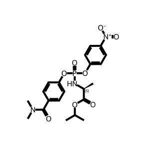 CC(C)OC(=O)[C@H](C)NP(=O)(Oc1ccc(C(=O)N(C)C)cc1)Oc1ccc([N+](=O)[O-])cc1